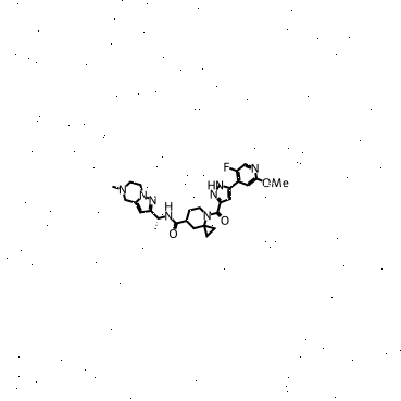 COc1cc(-c2cc(C(=O)N3CCC(C(=O)N[C@H](C)c4cc5n(n4)CCN(C)C5)CC34CC4)n[nH]2)c(F)cn1